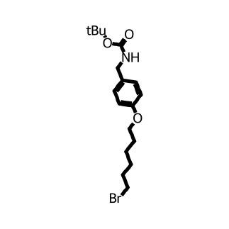 CC(C)(C)OC(=O)NCc1ccc(OCCCCCCBr)cc1